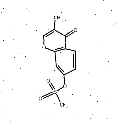 Cc1coc2cc(OS(=O)(=O)C(F)(F)F)ccc2c1=O